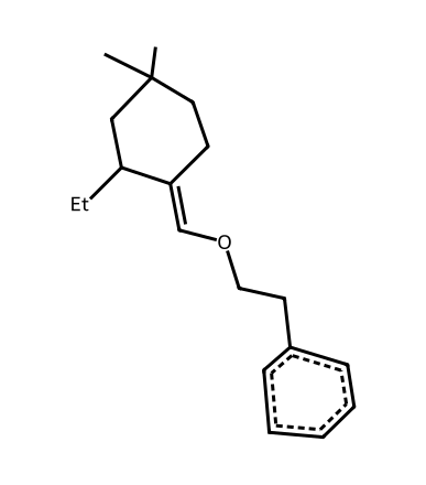 CCC1CC(C)(C)CCC1=COCCc1ccccc1